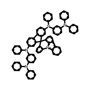 c1ccc(N(c2ccccc2)c2cccc(N(c3ccccc3)c3ccc4c(c3)C3(c5cc(N(c6ccccc6)c6cccc(N(c7ccccc7)c7ccccc7)c6)ccc5-4)c4ccccc4-n4c5ccccc5c5cccc3c54)c2)cc1